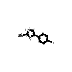 CC(C)(C)c1nc(-c2ccc(I)cc2)c[nH]1